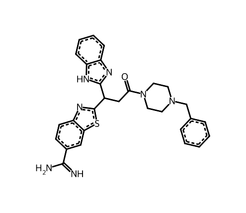 N=C(N)c1ccc2nc(C(CC(=O)N3CCN(Cc4ccccc4)CC3)c3nc4ccccc4[nH]3)sc2c1